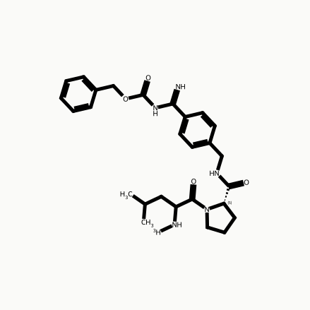 [3H]NC(CC(C)C)C(=O)N1CCC[C@H]1C(=O)NCc1ccc(C(=N)NC(=O)OCc2ccccc2)cc1